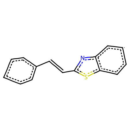 [c]1ccc2sc(C=Cc3ccccc3)nc2c1